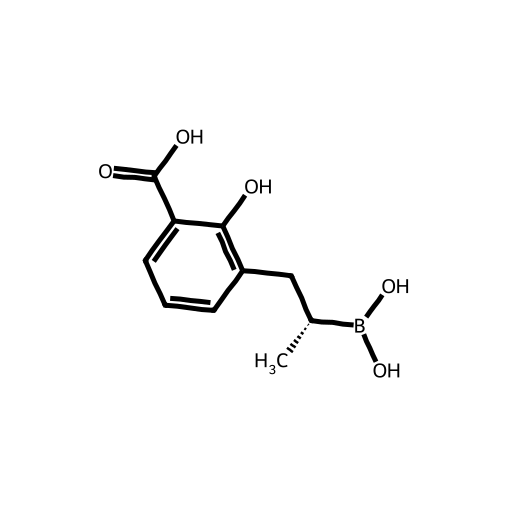 C[C@H](Cc1cccc(C(=O)O)c1O)B(O)O